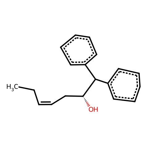 CC/C=C\C[C@@H](O)C(c1ccccc1)c1ccccc1